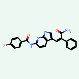 NC(=O)C(=Cc1c[nH]c2nc(NC(=O)c3ccc(Br)cc3)ccc12)c1ccccc1